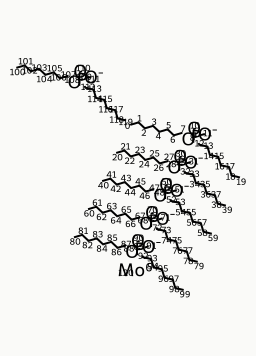 CCCCCCCCOP(=O)([O-])CCCCCCCC.CCCCCCCCOP(=O)([O-])CCCCCCCC.CCCCCCCCOP(=O)([O-])CCCCCCCC.CCCCCCCCOP(=O)([O-])CCCCCCCC.CCCCCCCCOP(=O)([O-])CCCCCCCC.CCCCCCCCOP(=O)([O-])CCCCCCCC.[Mo+6]